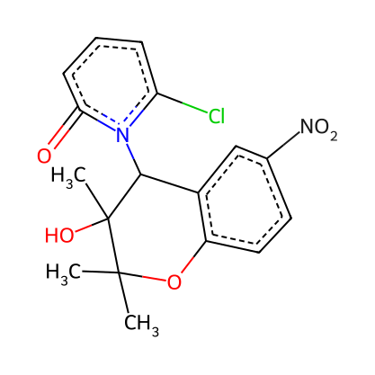 CC1(C)Oc2ccc([N+](=O)[O-])cc2C(n2c(Cl)cccc2=O)C1(C)O